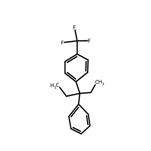 CCC(CC)(c1ccccc1)c1ccc(C(F)(F)F)cc1